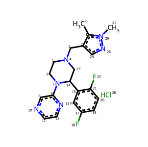 Cc1c(CN2CCN(c3cnccn3)C(c3cc(F)ccc3F)C2)cnn1C.Cl